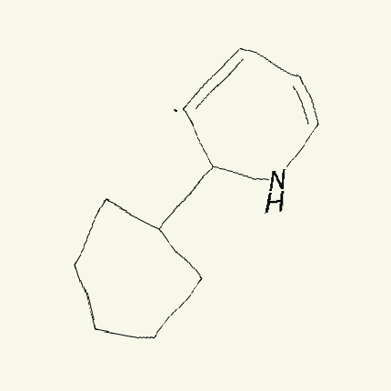 [C]1=CC=CNC1C1CCCCC1